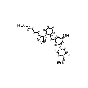 CC(C)CN1C[C@H](C)N(c2cc(O)cc(Cc3ccccc3-c3nnnn3CCCCC(=O)O)c2)C[C@H]1C